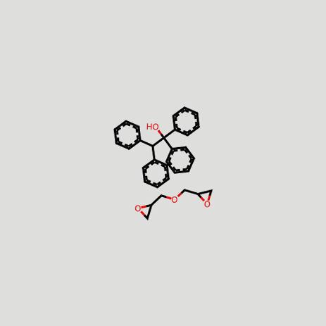 C(OCC1CO1)C1CO1.OC(c1ccccc1)(c1ccccc1)C(c1ccccc1)c1ccccc1